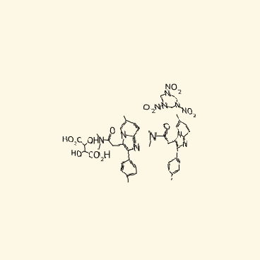 Cc1ccc(-c2nc3ccc(C)cn3c2CC(=O)N(C)C)cc1.Cc1ccc(-c2nc3ccc(C)cn3c2CC(=O)N(C)C)cc1.O=C(O)C(O)C(O)C(=O)O.O=[N+]([O-])N1CN([N+](=O)[O-])CN([N+](=O)[O-])C1